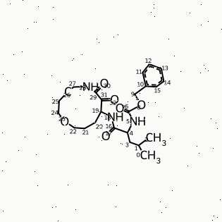 CC(C)CC(NC(=O)OCc1ccccc1)C(=O)NC1CCCOCCCCNC(=O)C1=O